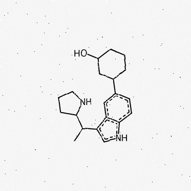 CC(c1c[nH]c2ccc(C3CCCC(O)C3)cc12)C1CCCN1